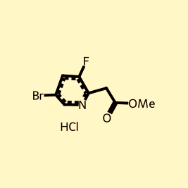 COC(=O)Cc1ncc(Br)cc1F.Cl